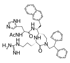 CC(=O)NC(Cc1cnc[nH]1)C(=O)N[C@@H](Cc1ccc2ccccc2c1)[C@@H]1CCN(CC(c2ccccc2)c2ccccc2)C(=O)[C@H](CCCNC(=N)N)N1